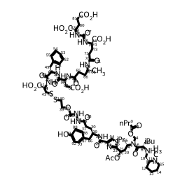 CCCC(=O)OCN(C(=O)[C@@H](NC[C@H]1CCCCN1C)C(C)CC)[C@H](C[C@@H](OC(C)=O)c1nc(C(=O)N[C@H](CCC(=O)NNC(=O)OCCSSC[C@H](NC(=O)[C@H](Cc2ccccc2)NC(=O)[C@H](CC(=O)O)NC(=O)CC[C@@H](C)NC(=O)CC[C@H](NC(=O)N[C@@H](CCC(=O)O)C(=O)O)C(=O)O)C(=O)O)Cc2ccc(O)cc2)cs1)C(C)C